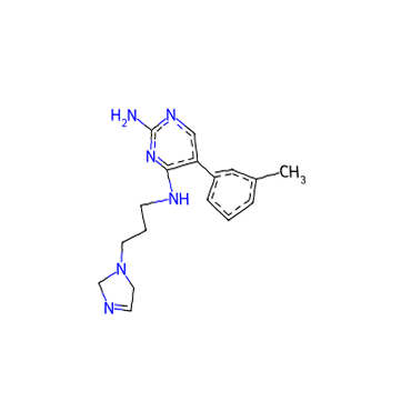 Cc1cccc(-c2cnc(N)nc2NCCCN2CC=NC2)c1